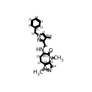 CN1C(=O)[C@H](NCc2nn(Cc3ccccc3)cc2F)CCc2c1cnn2C